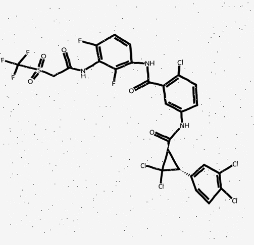 O=C(CS(=O)(=O)C(F)(F)F)Nc1c(F)ccc(NC(=O)c2cc(NC(=O)[C@H]3[C@H](c4ccc(Cl)c(Cl)c4)C3(Cl)Cl)ccc2Cl)c1F